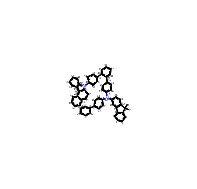 CC1(C)c2ccccc2-c2cc(N(c3ccc(-c4ccccc4)cc3)c3ccc(-c4ccccc4-c4ccc(-n5c6ccccc6c6c7ccccc7ccc65)cc4)cc3)ccc21